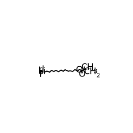 C=C(C)C(=O)OCCCCCCCCCCCCCCC[Si](I)(I)I